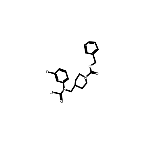 CCC(=O)N(CC1CCN(C(=O)OCc2ccccc2)CC1)c1cccc(F)c1